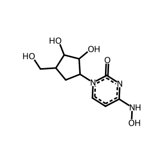 O=c1nc(NO)ccn1C1CC(CO)C(O)C1O